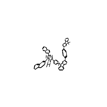 CC1(C)c2ccccc2-c2ccc(-c3ccc(-c4ccc5c6ccccc6n(-c6ccc(C7N=C(c8ccc9ccccc9c8)N=C(c8ccc9ccccc9c8)N7)cc6)c5c4)cc3)cc21